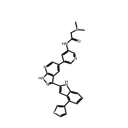 CN(C)CC(=O)Nc1cncc(-c2cnc3[nH]nc(-c4cc5c(-c6ccsc6)cccc5[nH]4)c3c2)c1